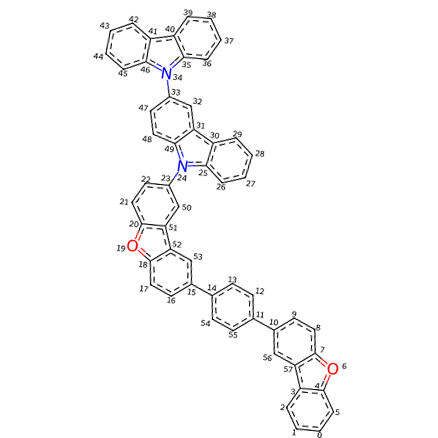 c1ccc2c(c1)oc1ccc(-c3ccc(-c4ccc5oc6ccc(-n7c8ccccc8c8cc(-n9c%10ccccc%10c%10ccccc%109)ccc87)cc6c5c4)cc3)cc12